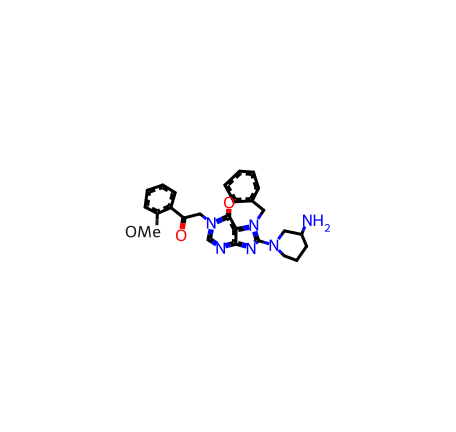 COc1ccccc1C(=O)Cn1cnc2nc(N3CCCC(N)C3)n(Cc3ccccc3)c2c1=O